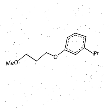 COCCCOc1cccc(C(C)C)c1